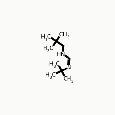 CC(C)(C)CN/C=N\C(C)(C)C